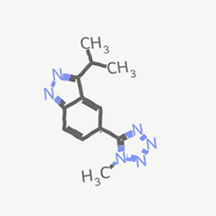 CC(C)C1=NN=C2C=C[C](c3nnnn3C)C=C21